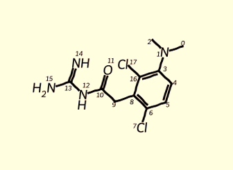 CN(C)c1ccc(Cl)c(CC(=O)NC(=N)N)c1Cl